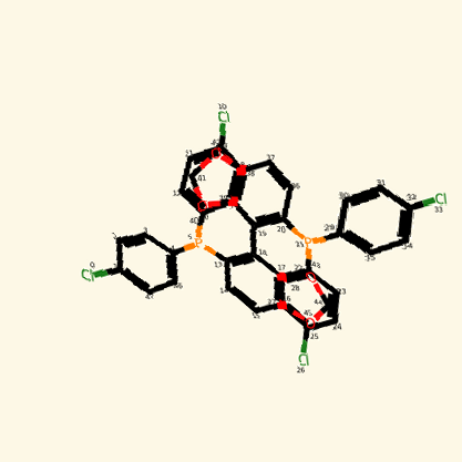 Clc1ccc(P(c2ccc(Cl)cc2)c2ccc3c(c2-c2c(P(c4ccc(Cl)cc4)c4ccc(Cl)cc4)ccc4c2OCO4)OCO3)cc1